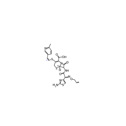 C=CCON=C(C(=O)NC1C(=O)N2C(C(=O)O)=C(S/C=C\c3ccc(C)nc3)CS[C@@H]12)c1csc(N)n1